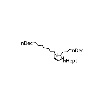 CCCCCCCCCCCCCCCCCN1C=CN(CCCCCCC)C1CCCCCCCCCCCCC